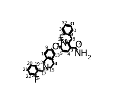 NC(=O)c1ccc(Oc2ccc3c(c2)CCN(Cc2ccccc2F)C3)nc1Cc1ccccc1F